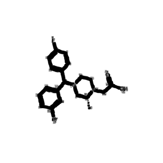 C[C@@H]1CN(C(c2ccc(F)cc2)c2cccc(Br)c2)CCN1CC(=O)O